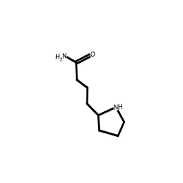 NC(=O)CCCC1CCCN1